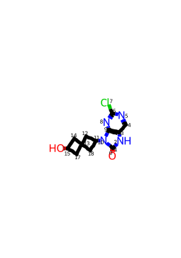 O=c1[nH]c2cnc(Cl)nc2n1C1CC2(CC(O)C2)C1